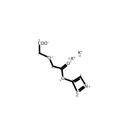 O=C([O-])COCC(=O)OC1=CN=[C-]1.[K+].[K+]